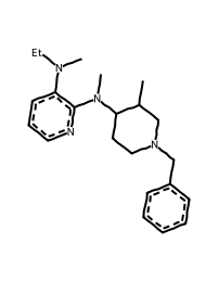 CCN(C)c1cccnc1N(C)C1CCN(Cc2ccccc2)CC1C